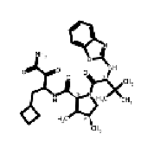 CC1[C@H](C)CN(C(=O)[C@@H](Nc2nc3ccccc3o2)C(C)(C)C)[C@@H]1C(=O)NC(CC1CCC1)C(=O)C(N)=O